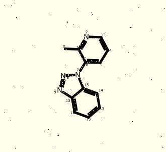 Cc1ncccc1-n1nnc2ccccc21